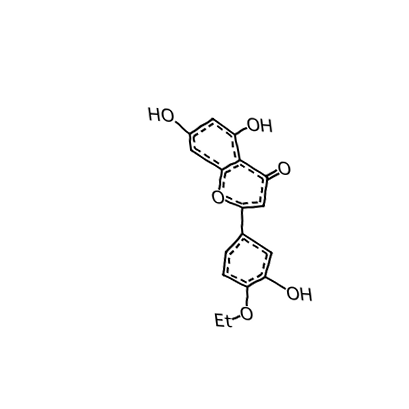 CCOc1ccc(-c2cc(=O)c3c(O)cc(O)cc3o2)cc1O